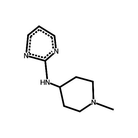 CN1CCC(Nc2ncccn2)CC1